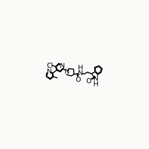 Cc1cccnc1-c1cc(N2CCC(C(=O)NCCC3C(=O)Nc4ccccc43)CC2)ncc1Cl